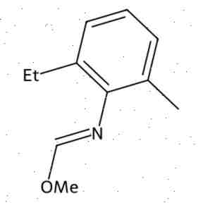 CCc1cccc(C)c1N=COC